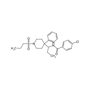 CCCS(=O)(=O)N1CCC(c2ccccc2)(C(CC)NC(=O)c2ccc(Cl)cc2)CC1